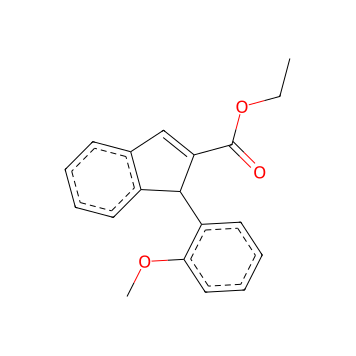 CCOC(=O)C1=Cc2ccccc2C1c1ccccc1OC